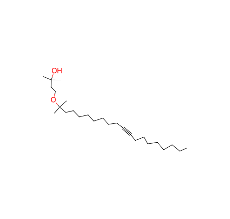 CCCCCCCCC#CCCCCCCCCC(C)(C)OCCC(C)(C)O